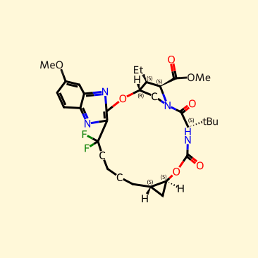 CC[C@@H]1[C@@H]2CN(C(=O)[C@H](C(C)(C)C)NC(=O)O[C@H]3C[C@@H]3CCCCC(F)(F)c3nc4ccc(OC)cc4nc3O2)[C@@H]1C(=O)OC